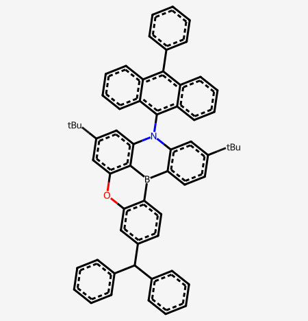 CC(C)(C)c1ccc2c(c1)N(c1c3ccccc3c(-c3ccccc3)c3ccccc13)c1cc(C(C)(C)C)cc3c1B2c1ccc(C(c2ccccc2)c2ccccc2)cc1O3